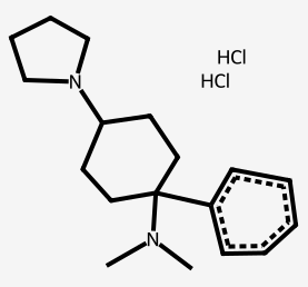 CN(C)C1(c2ccccc2)CCC(N2CCCC2)CC1.Cl.Cl